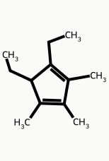 CC[C]1C(C)=C(C)C(C)=C1CC